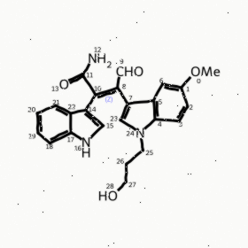 COc1ccc2c(c1)c(/C(C=O)=C(/C(N)=O)c1c[nH]c3ccccc13)cn2CCCO